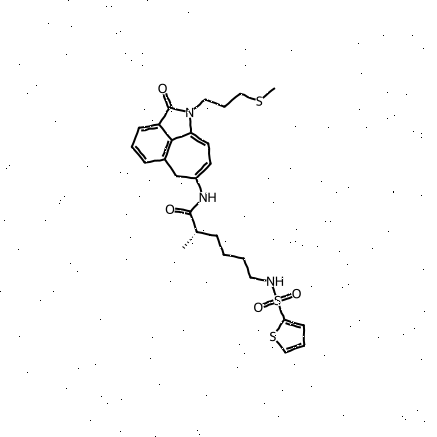 CSCCCN1C(=O)c2cccc3c2C1=CC=C(NC(=O)[C@@H](C)CCCCNS(=O)(=O)c1cccs1)C3